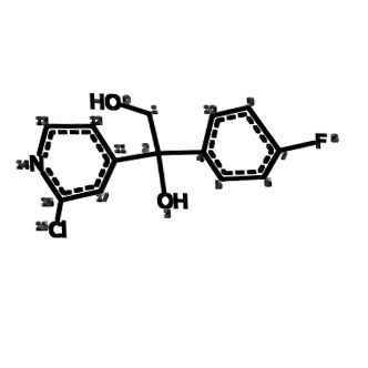 OCC(O)(c1ccc(F)cc1)c1ccnc(Cl)c1